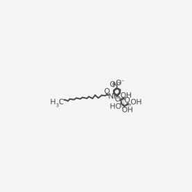 CCCCCCCCCCCCCCCC(=O)Nc1cc([N+](=O)[O-])ccc1O[C@@H]1[C@@H](O)[C@H](O)[C@@H](CO)O[C@H]1O